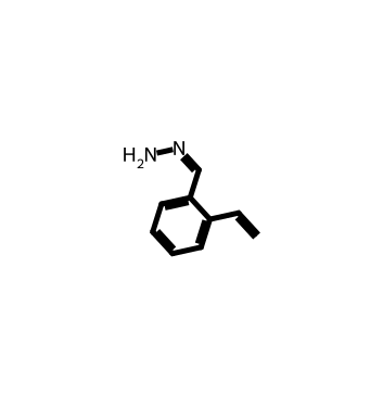 C=Cc1ccccc1/C=N\N